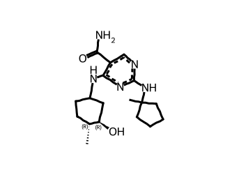 C[C@@H]1CCC(Nc2nc(NC3(C)CCCC3)ncc2C(N)=O)C[C@H]1O